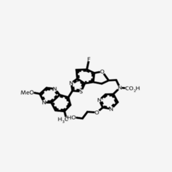 COc1cnc2c(-c3nc4cc(F)c5c(c4s3)CC(CN(C(=O)O)c3cnc(OCCO)nc3)O5)cc(C)cc2n1